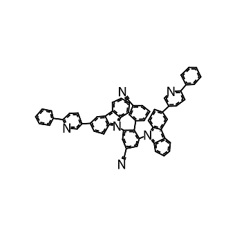 N#Cc1cccc(-c2c(-n3c4ccccc4c4cc(-c5ccc(-c6ccccc6)nc5)ccc43)cc(C#N)cc2-n2c3ccccc3c3cc(-c4ccc(-c5ccccc5)nc4)ccc32)c1